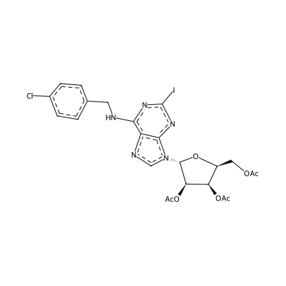 CC(=O)OC[C@@H]1O[C@@H](n2cnc3c(NCc4ccc(Cl)cc4)nc(I)nc32)[C@H](OC(C)=O)[C@@H]1OC(C)=O